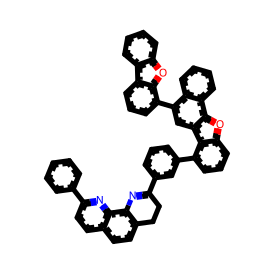 c1ccc(-c2ccc3ccc4c(c3n2)N=C(c2cccc(-c3cccc5oc6c7ccccc7c(-c7cccc8c7oc7ccccc78)cc6c35)c2)CC4)cc1